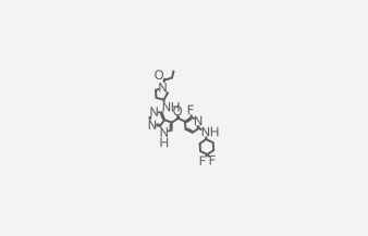 CCC(=O)N1CCC(Nc2ncnc3[nH]cc(C(=O)c4ccc(NC5CCC(F)(F)CC5)nc4F)c23)C1